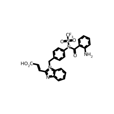 Nc1ccccc1C(=O)N(c1ccc(Cn2c(C=CC(=O)O)nc3ccccc32)cc1)S(=O)(=O)C(F)(F)F